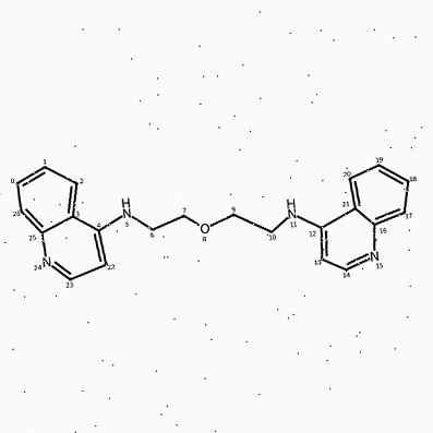 c1ccc2c(NCCOCCNc3ccnc4ccccc34)ccnc2c1